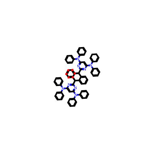 C1=CC(N(c2ccccc2)c2cc(N(c3ccccc3)c3ccccc3)nc(C34c5ccccc5C(c5nc(N(c6ccccc6)c6ccccc6)cc(N(c6ccccc6)c6ccccc6)n5)(c5ccccc53)c3ccccc34)n2)=CCC1